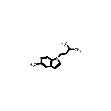 Cc1ccc2c(ccn2CCC(C)C)c1